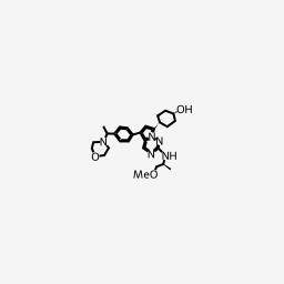 COC[C@H](C)Nc1ncc2c(-c3ccc(C(C)N4CCOCC4)cc3)cc([C@H]3CC[C@@H](O)CC3)n2n1